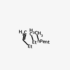 C=CCC.CCC.CCCCCC